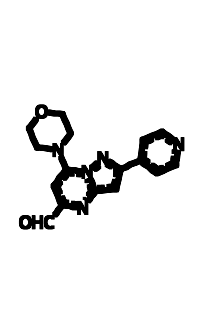 O=Cc1cc(N2CCOCC2)n2nc(-c3ccncc3)cc2n1